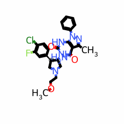 COCCN1CC(NC(=O)Nc2c(C(N)=O)c(C)nn2-c2ccccc2)[C@H](c2ccc(Cl)c(F)c2)C1